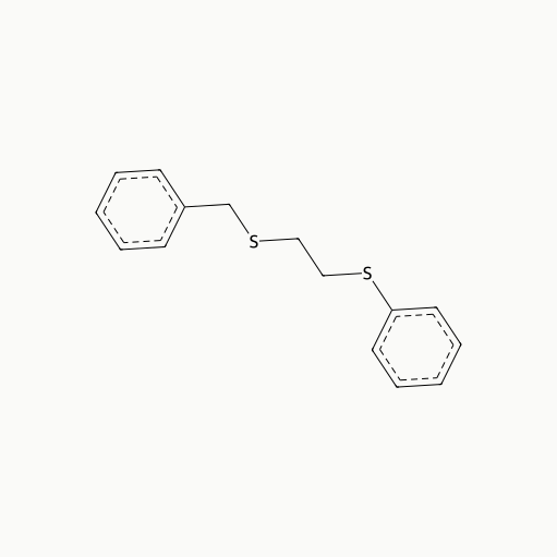 c1ccc(CSCCSc2ccccc2)cc1